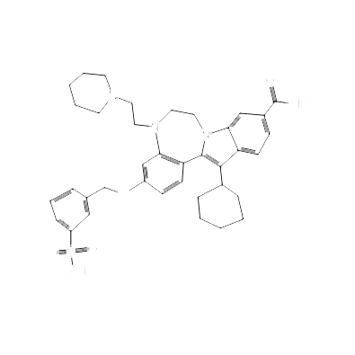 CS(=O)(=O)c1cccc(COc2ccc3c(c2)N(CCN2CCCCC2)CCn2c-3c(C3CCCCC3)c3ccc(C(=O)O)cc32)c1